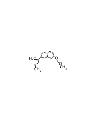 C=CCN(C)c1ccc2ccc(OCOC)cc2c1